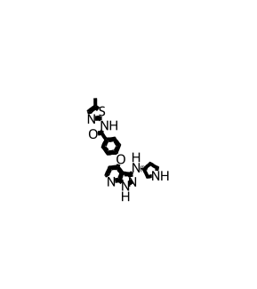 Cc1cnc(NC(=O)c2ccc(Oc3ccnc4[nH]nc(N[C@@H]5CCNC5)c34)cc2)s1